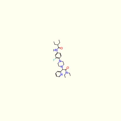 CCC(CC)C(=O)Nc1ccc(N2CCN(C(C(=O)N(CC)CC)c3ccccn3)CC2)c(F)c1